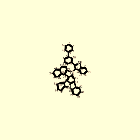 c1ccc(-c2cccc(C3=Nc4ccccc4C3n3c4ccc5ccccc5c4c4c5c6ccccc6n6c7ccccc7c(cc43)c56)c2)cc1